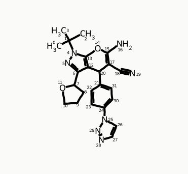 CC(C)(C)n1nc(C2CCCO2)c2c1OC(N)=C(C#N)C2c1ccc(-n2ccnn2)cc1